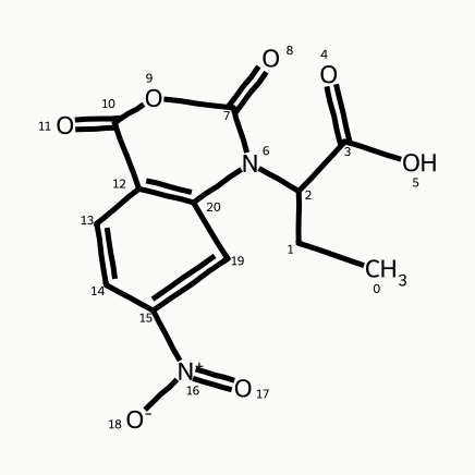 CCC(C(=O)O)n1c(=O)oc(=O)c2ccc([N+](=O)[O-])cc21